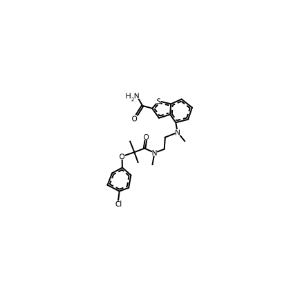 CN(CCN(C)c1cccc2sc(C(N)=O)cc12)C(=O)C(C)(C)Oc1ccc(Cl)cc1